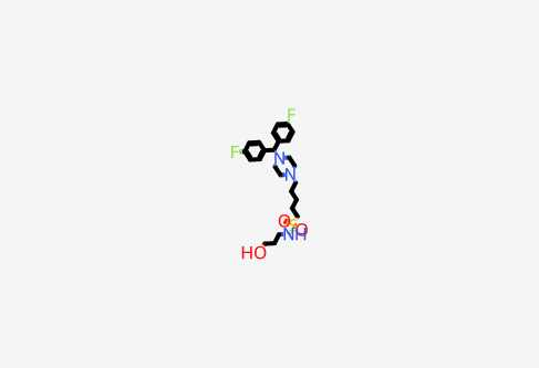 O=S(=O)(CCCCCN1CCN(C(c2ccc(F)cc2)c2ccc(F)cc2)CC1)NCCCO